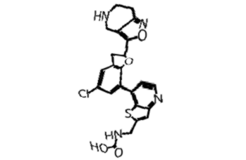 O=C(O)NCc1cc2nccc(-c3cc(Cl)cc4c3OC(c3onc5c3CNCC5)C4)c2s1